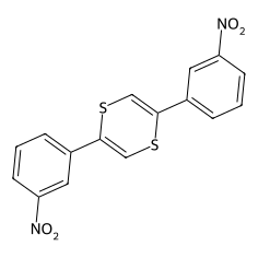 O=[N+]([O-])c1cccc(C2=CSC(c3cccc([N+](=O)[O-])c3)=CS2)c1